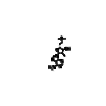 C=P(C)(C)CC[C@H]1OC(n2cnc3c(N)ncnc32)[C@H](C)[C@@H]1O